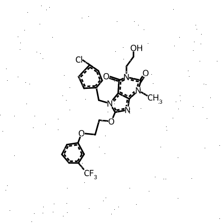 Cn1c(=O)n(CCO)c(=O)c2c1nc(OCCOc1cccc(C(F)(F)F)c1)n2Cc1ccc(Cl)cc1